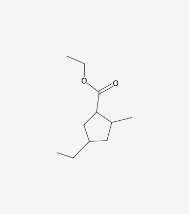 CCOC(=O)C1CC(CC)CC1C